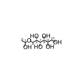 CC(O)OC[C@H](O)[C@@H](O)[C@H](O)[C@H](O)CO